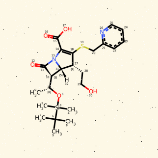 C[C@@H](O[Si](C)(C)C(C)(C)C)[C@H]1C(=O)N2C(C(=O)O)=C(SCc3ccccn3)[C@H](CCO)[C@H]12